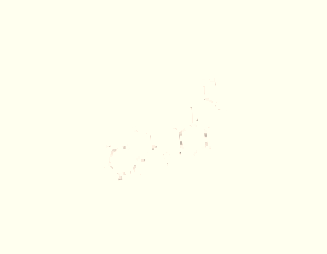 O=C(O)Cc1cccc(OC2CCc3ccccc32)c1